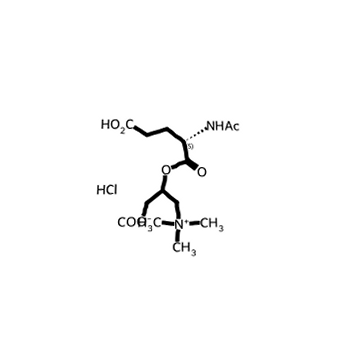 CC(=O)N[C@@H](CCC(=O)O)C(=O)OC(CC(=O)[O-])C[N+](C)(C)C.Cl